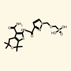 CC1(C)Cc2c(sc(NC(=O)c3ccn(COCP(=O)(O)O)n3)c2C(N)=O)C(C)(C)O1